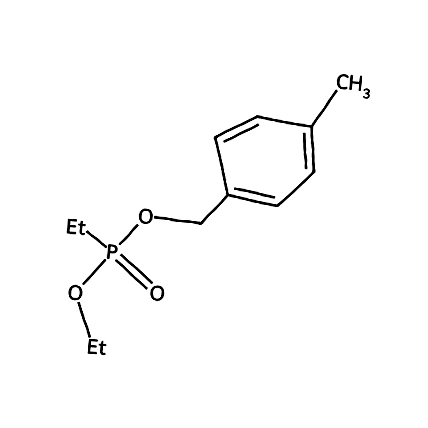 CCOP(=O)(CC)OCc1ccc(C)cc1